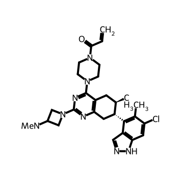 C=CC(=O)N1CCN(c2nc(N3CC(NC)C3)nc3c2C[C@@H](C)[C@H](c2c(C)c(Cl)cc4[nH]ncc24)C3)CC1